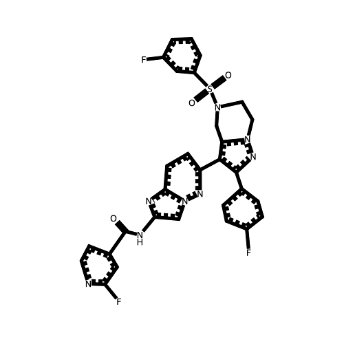 O=C(Nc1cn2nc(-c3c(-c4ccc(F)cc4)nn4c3CN(S(=O)(=O)c3cccc(F)c3)CC4)ccc2n1)c1ccnc(F)c1